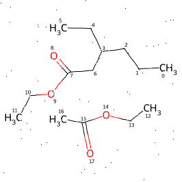 CCCC(CC)CC(=O)OCC.CCOC(C)=O